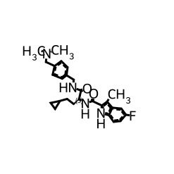 Cc1c(C(=O)N[C@@H](CCC2CC2)C(=O)NCc2ccc(CN(C)C)cc2)[nH]c2ccc(F)cc12